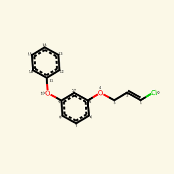 ClC=CCOc1cccc(Oc2ccccc2)c1